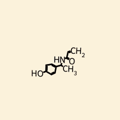 C=CC(=O)NC(C)c1ccc(O)cc1